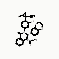 N#CC1(c2ccc(N3C(=O)c4ccccc4[C@H](C(=O)O)[C@H]3c3ccc4c(c3)OCCO4)cc2Cl)CC1I